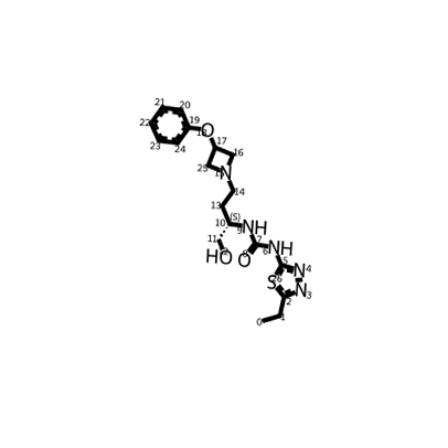 CCc1nnc(NC(=O)N[C@H](CO)CCN2CC(Oc3ccccc3)C2)s1